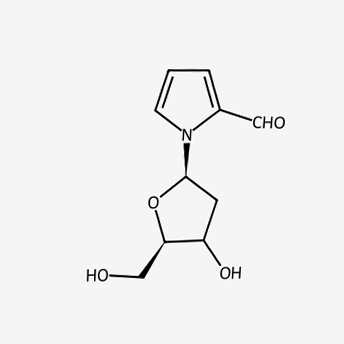 O=Cc1cccn1[C@H]1CC(O)[C@@H](CO)O1